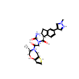 Cn1cc(-c2ccc3c(c2)CC[C@@H]3C(=O)N(CC(=O)N2Cc3sccc3OC[C@H]2C(F)(F)F)C(N)=O)cn1